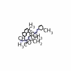 C=CC1OC(C)C(=C\C=C/C)/C1=C/C(=C)B(C/C(C)=C\C=C1\C=CCC(C)C1)c1c(C)ccc2ccccc12